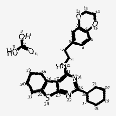 O=C(O)O.c1cc2c(cc1CCNc1nc(C3CCCCC3)nc3sc4c(c13)CCCC4)OCCO2